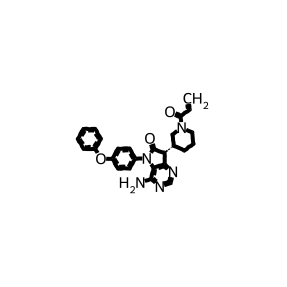 C=CC(=O)N1CCC[C@H](C2C(=O)N(c3ccc(Oc4ccccc4)cc3)c3c(N)ncnc32)C1